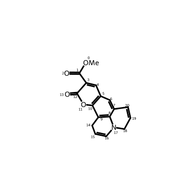 COC(=O)c1cc2cc3c4c(c2oc1=O)CC=CN4CC=C3